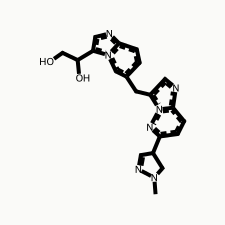 CN1CC(c2ccc3ncc(Cc4ccc5ncc(C(O)CO)n5c4)n3n2)C=N1